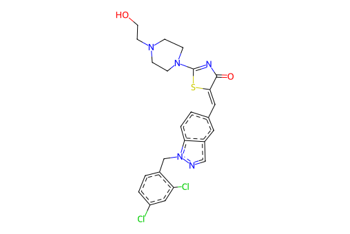 O=C1N=C(N2CCN(CCO)CC2)S/C1=C\c1ccc2c(cnn2Cc2ccc(Cl)cc2Cl)c1